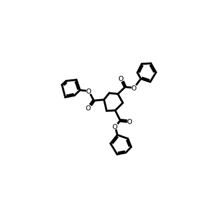 O=C(Oc1ccccc1)C1CC(C(=O)Oc2ccccc2)CC(C(=O)Oc2ccccc2)C1